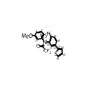 COc1cccc(N(C(=O)C(F)(F)F)c2cc(-c3cccs3)ccc2N)c1